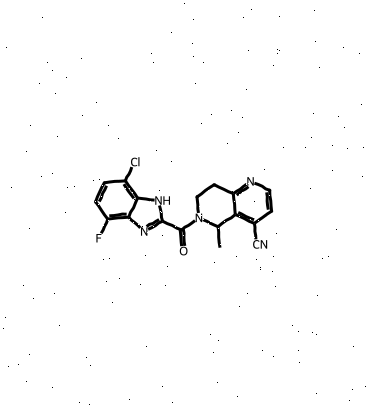 CC1c2c(C#N)ccnc2CCN1C(=O)c1nc2c(F)ccc(Cl)c2[nH]1